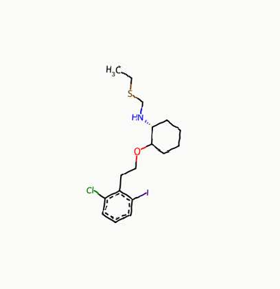 CCSCN[C@@H]1CCCCC1OCCc1c(Cl)cccc1I